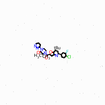 CC(C)(C)c1cc(-c2ccc(Cl)c(F)c2)nc2cc(C(=O)N3CCN(c4cccnn4)C(=O)C3(C)C)oc12